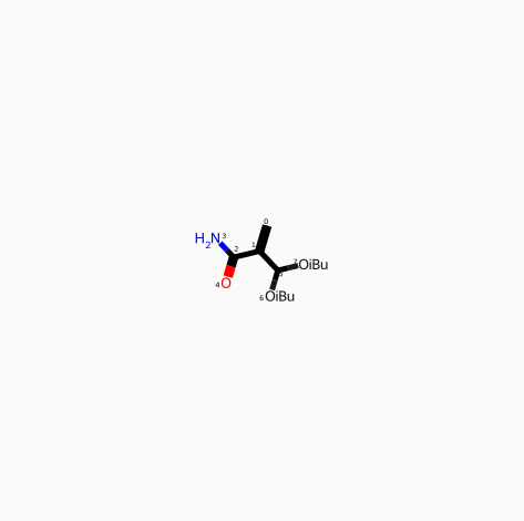 C=C(C(N)=O)C(OCC(C)C)OCC(C)C